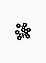 c1ccc(-c2nc(-n3c4ccccc4c4c5ccccc5c5c(ccc6c5c5ccccc5n6-c5ccccc5)c43)nc3ccccc23)cc1